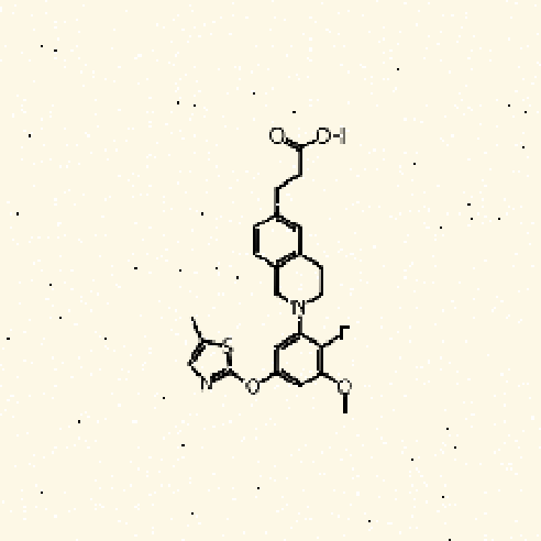 COc1cc(Oc2ncc(C)s2)cc(N2CCc3cc(CCC(=O)O)ccc3C2)c1F